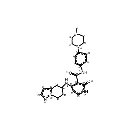 CN1CCN(c2ccc(NC(=O)c3c(NC4CCn5nccc5C4)cc[nH]c3=O)cc2)CC1